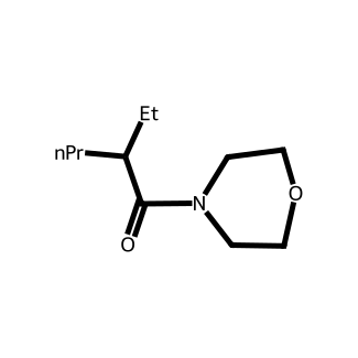 CCCC(CC)C(=O)N1CCOCC1